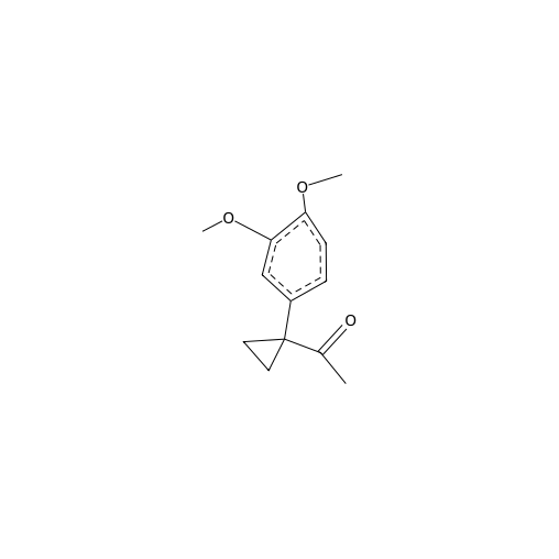 COc1ccc(C2(C(C)=O)CC2)cc1OC